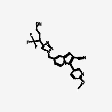 COc1ccc(-c2c(C#N)cc3cc(Cn4cc(C(CCO)C(F)(F)F)nn4)ccn23)cn1